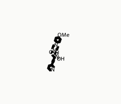 COc1ccc(N2CCN(S(=O)(=O)CC(C#Cc3cccnc3)NO)CC2)cc1